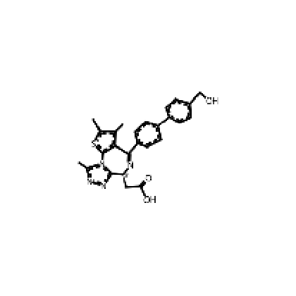 Cc1sc2c(c1C)C(c1ccc(-c3ccc(CO)cc3)cc1)=N[C@@H](CC(=O)O)c1nnc(C)n1-2